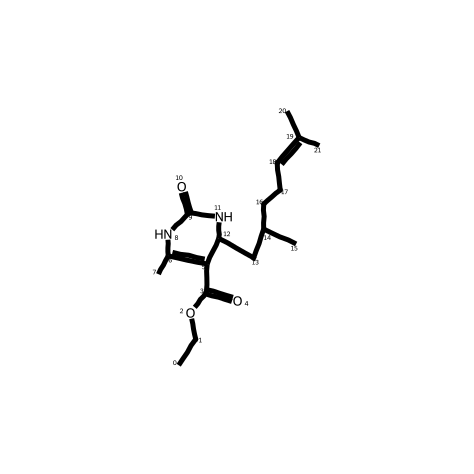 CCOC(=O)C1=C(C)NC(=O)NC1CC(C)CCC=C(C)C